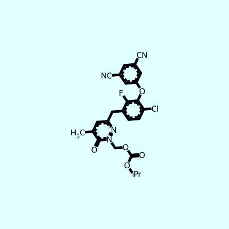 Cc1cc(Cc2ccc(Cl)c(Oc3cc(C#N)cc(C#N)c3)c2F)nn(COC(=O)OC(C)C)c1=O